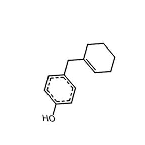 Oc1ccc(CC2=CCCCC2)cc1